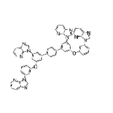 c1cc(Oc2cc(-c3ccc(-c4cc(Oc5cccc(-n6cnc7cccnc76)c5)cc(-n5cnc6cccnc65)c4)cc3)cc(-n3cnc4cccnc43)c2)cc(-n2cnc3cccnc32)c1